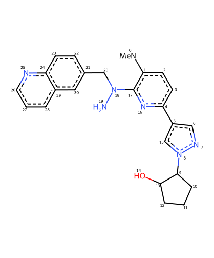 CNc1ccc(-c2cnn(C3CCCC3O)c2)nc1N(N)Cc1ccc2ncccc2c1